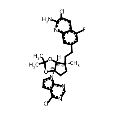 CC1(C)O[C@@H]2[C@@](C)(CCc3cc(F)c4cc(Cl)c(N)nc4c3)CC[C@@]2(n2ccc3c(Cl)ncnc32)O1